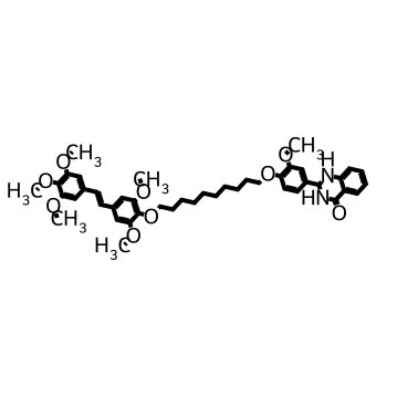 COc1cc(C2NC(=O)c3ccccc3N2)ccc1OCCCCCCCCCCOc1c(OC)cc(C=Cc2cc(OC)c(OC)c(OC)c2)cc1OC